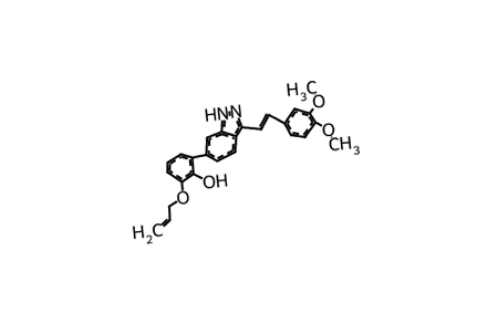 C=CCOc1cccc(-c2ccc3c(C=Cc4ccc(OC)c(OC)c4)n[nH]c3c2)c1O